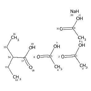 CC(=O)O.CC(=O)O.CC(=O)O.CCC(CC)C(=O)O.[NaH]